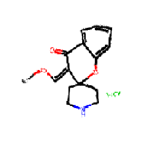 CCOC=C1C(=O)c2ccccc2OC12CCNCC2.Cl